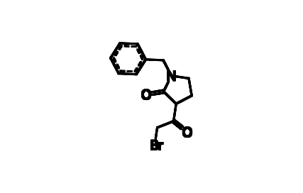 O=C(CBr)C1CCN(Cc2ccccc2)C1=O